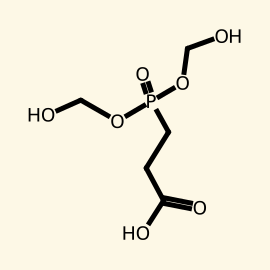 O=C(O)CCP(=O)(OCO)OCO